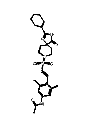 CC(=O)Nc1cc(C)c(/C=C/S(=O)(=O)N2CCC3(CC2)N=C(C2CCCCC2)NC3=O)c(C)c1